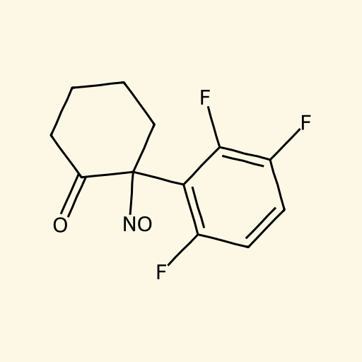 O=NC1(c2c(F)ccc(F)c2F)CCCCC1=O